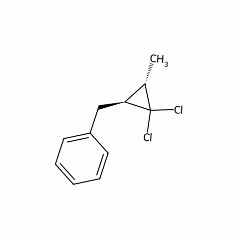 C[C@H]1[C@H](Cc2ccccc2)C1(Cl)Cl